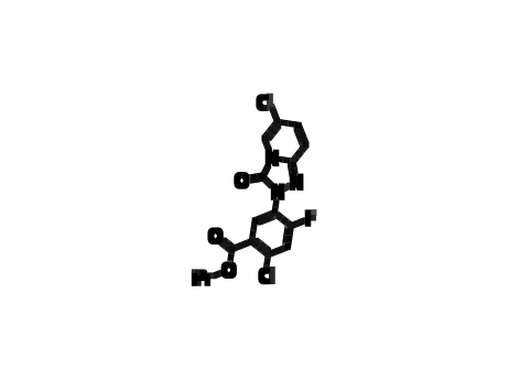 CC(C)OC(=O)c1cc(-n2nc3ccc(Cl)cn3c2=O)c(F)cc1Cl